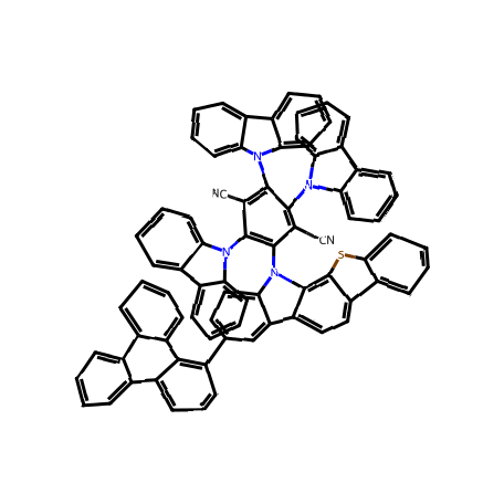 N#Cc1c(-n2c3ccccc3c3ccccc32)c(-n2c3ccccc3c3ccccc32)c(C#N)c(-n2c3ccc(-c4cccc5c6ccccc6c6ccccc6c45)cc3c3ccc4c5ccccc5sc4c32)c1-n1c2ccccc2c2ccccc21